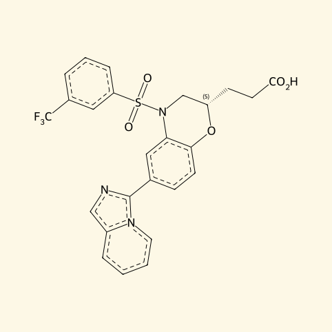 O=C(O)CC[C@H]1CN(S(=O)(=O)c2cccc(C(F)(F)F)c2)c2cc(-c3ncc4ccccn34)ccc2O1